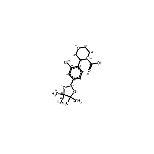 CC1(C)OB(c2ccc(C3COCCN3C(=O)O)c(Cl)c2)OC1(C)C